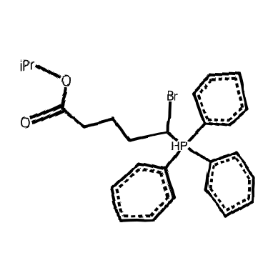 CC(C)OC(=O)CCCC(Br)[PH](c1ccccc1)(c1ccccc1)c1ccccc1